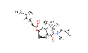 CC[C@@]1(C)c2cc(OC(=O)/C=C/C=C(C)C)ccc2C(=O)[C@@H](N(C)CC2CC2)[C@@H]1C